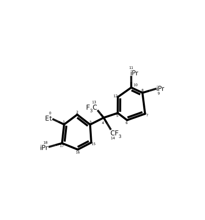 CCc1cc(C(c2ccc(C(C)C)c(C(C)C)c2)(C(F)(F)F)C(F)(F)F)ccc1C(C)C